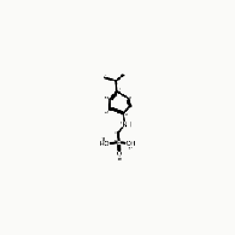 CC(C)c1ccc(NCP(=O)(O)O)cc1